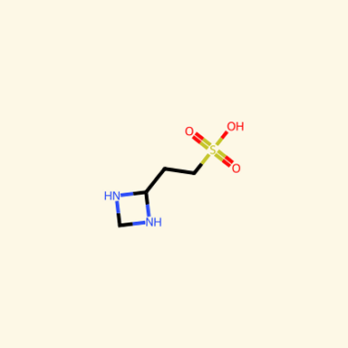 O=S(=O)(O)CCC1NCN1